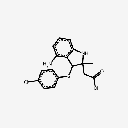 CC1(CC(=O)O)Nc2cccc(N)c2C1Sc1ccc(Cl)cc1